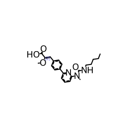 CCCCCNC(=O)N(C)c1cccc(-c2ccc(/C=C(\OC)C(=O)O)cc2)n1